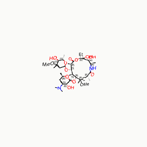 CC[C@H]1OC(=O)[C@H](C)[C@@H](OC2C[C@@](C)(OC)[C@@H](O)[C@H](C)O2)[C@H](C)[C@@H](O[C@@H]2O[C@H](C)C[C@H](N(C)C)[C@H]2O)[C@](C)(OC)C[C@@H](C)C(=O)N[C@H](C)[C@@H](O)[C@]1(C)O